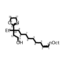 CCCCCCCC/C=C\CCCCCCCC(CC)(CCO)C1=NCCO1